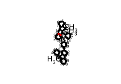 CC1(C)c2ccccc2-c2cccc(-c3ccccc3N(c3ccccc3)c3ccc(-c4ccc5c(c4)C(C)(c4ccccc4)c4ccccc4-5)cc3)c21